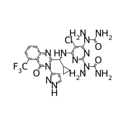 NC(=O)N(N)c1nc(N[C@H](c2nc3cccc(C(F)(F)F)c3c(=O)n2-c2cc[nH]n2)C2CC2)c(Cl)c(N(N)C(N)=O)n1